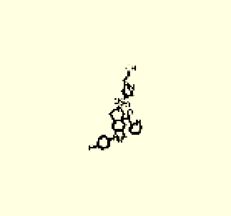 CCCn1cc(S(=O)(=O)N2CCC3=Cc4c(cnn4-c4ccc(F)cc4)CC3(C(=O)c3ccccn3)C2)cn1